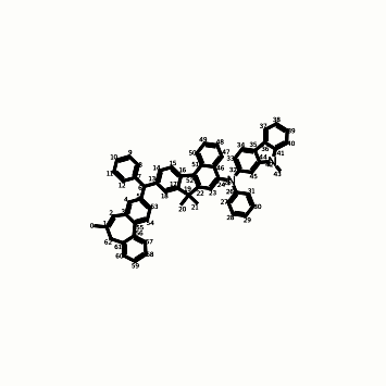 CC1=Cc2cc(C(c3ccccc3)c3ccc4c(c3)C(C)(C)c3cc(N(c5ccccc5)c5ccc6c7ccccc7n(C)c6c5)c5ccccc5c3-4)ccc2-c2ccccc2C1